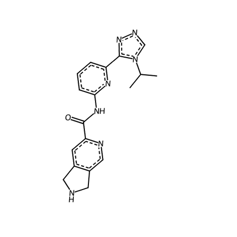 CC(C)n1cnnc1-c1cccc(NC(=O)c2cc3c(cn2)CNC3)n1